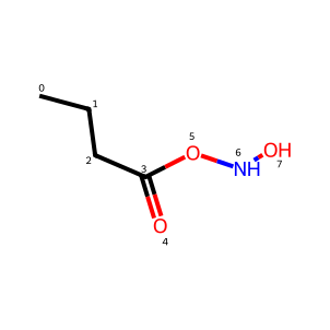 CCCC(=O)ONO